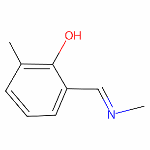 C/N=C/c1cccc(C)c1O